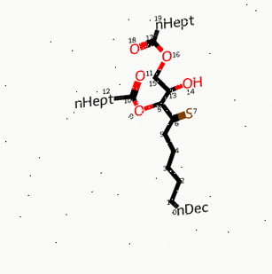 CCCCCCCCCCCCCCCC(=S)C(OC(=O)CCCCCCC)C(O)COC(=O)CCCCCCC